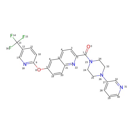 O=C(c1ccc2cc(Oc3ccc(C(F)(F)F)cn3)ccc2n1)N1CCN(c2cccnc2)CC1